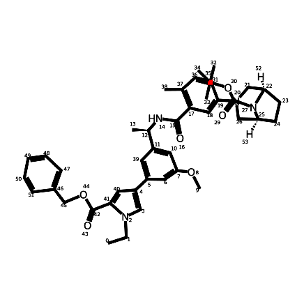 CCn1cc(-c2cc(OC)cc([C@@H](C)NC(=O)c3cc(N4C[C@H]5CC[C@@H](C4)N5C(=O)OC(C)(C)C)ccc3C)c2)cc1C(=O)OCc1ccccc1